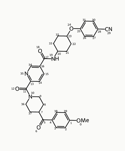 COc1ccc(C(=O)C2CCN(C(=O)c3ccc(C(=O)NC4CCC(Oc5ccc(C#N)cc5)CC4)cn3)CC2)cc1